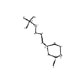 C[C@H]1CN(CCCOC(C)(C)C)CCO1